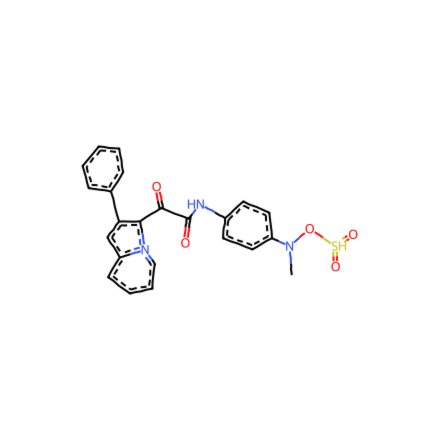 CN(O[SH](=O)=O)c1ccc(NC(=O)C(=O)c2c(-c3ccccc3)cc3ccccn23)cc1